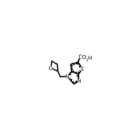 O=C(O)c1cc2c(ncn2CC2CCO2)s1